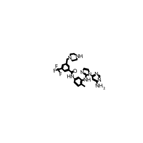 Cc1ccc(NC(=O)c2cc(CN3CCNCC3)cc(C(F)(F)F)c2)cc1Nc1nccn1-c1cc(N)ncn1